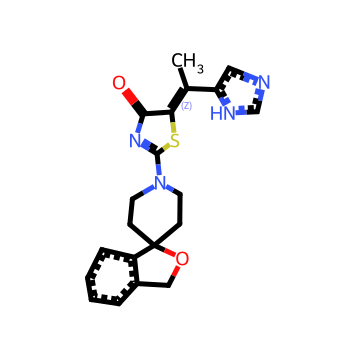 C/C(=C1/SC(N2CCC3(CC2)OCc2ccccc23)=NC1=O)c1cnc[nH]1